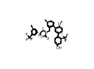 COc1ccc(-c2ccc(O)cc2C(F)(F)F)cc1-c1ccc(C)cc1CN1C(=O)O[C@H](c2cc(C)cc(C(F)(F)F)c2)[C@@H]1C